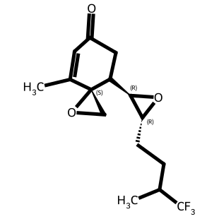 CC1=CC(=O)CC([C@H]2O[C@@H]2CCC(C)C(F)(F)F)[C@@]12CO2